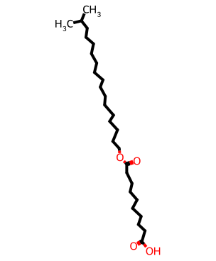 CC(C)CCCCCCCCCCCCCCCOC(=O)CCCCCCCCC(=O)O